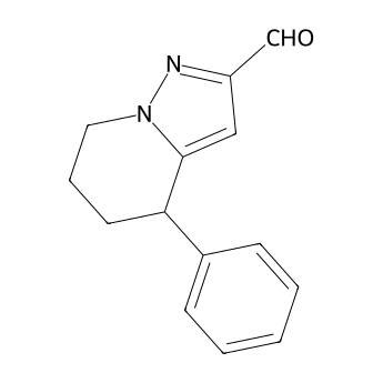 O=Cc1cc2n(n1)CCCC2c1ccccc1